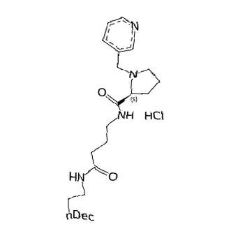 CCCCCCCCCCCCNC(=O)CCCNC(=O)[C@@H]1CCCN1Cc1cccnc1.Cl